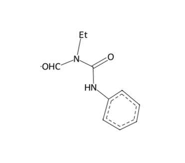 CCN([C]=O)C(=O)Nc1ccccc1